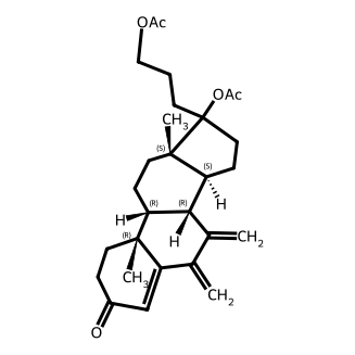 C=C1C(=C)[C@@H]2[C@@H](CC[C@@]3(C)[C@H]2CCC3(CCCOC(C)=O)OC(C)=O)[C@@]2(C)CCC(=O)C=C12